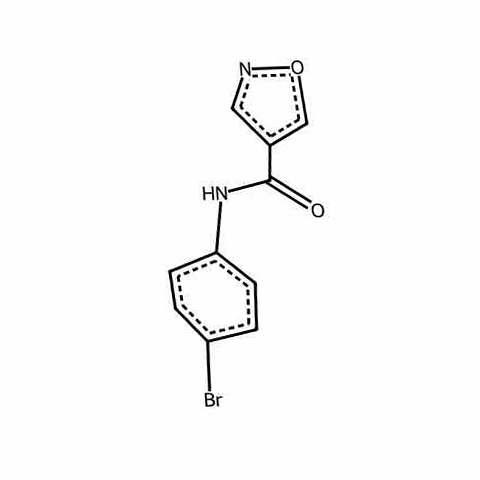 O=C(Nc1ccc(Br)cc1)c1cnoc1